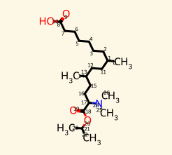 CC(CCCCCCC(=O)O)CCC(C)CCC(C(=O)OC(C)C)N(C)C